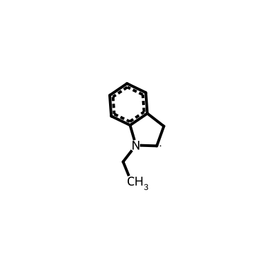 CCN1[CH]Cc2ccccc21